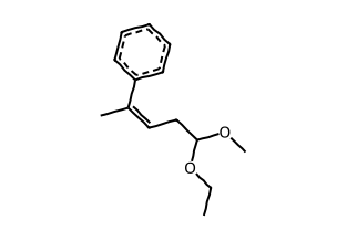 CCOC(C/C=C(/C)c1ccccc1)OC